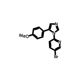 COc1ccc(-c2cncn2-c2ccc(Br)cn2)cc1